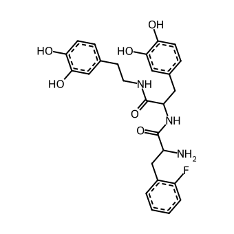 NC(Cc1ccccc1F)C(=O)NC(Cc1ccc(O)c(O)c1)C(=O)NCCc1ccc(O)c(O)c1